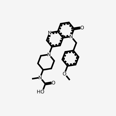 COc1ccc(Cn2c(=O)ccc3ncc(N4CCC(N(C)C(=O)O)CC4)cc32)cc1